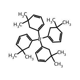 CC1(C)C=CC=C([B-](C2=CC=CC(C)(C)C2)(C2=CC=CC(C)(C)C2)C2=CC=CC(C)(C)C2)C1